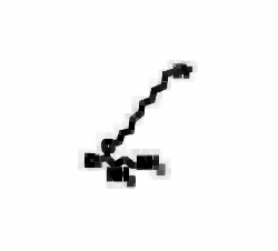 CCC(OCCCCCCCCCCC(C)C)C(N)CCN